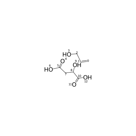 C=CCO.O=C(O)CC(O)C(=O)O